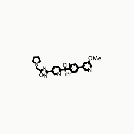 COc1cncc(-c2ccc(C(C)(c3ccc(-c4noc(CN5CCCC5)n4)cn3)C(C)C)cc2)c1